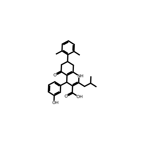 Cc1cccc(C)c1C1CC(=O)C2=C(C1)NC(CC(C)C)=C(C(=O)O)C2c1cccc(O)c1